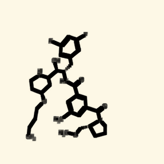 CCCCO[C@H]1CCNC([C@@H](O)[C@H](Cc2cc(F)cc(F)c2)NC(=O)c2cc(C)cc(C(=O)N3CCC[C@@H]3COC)c2)C1